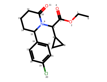 CCOC(=O)C(C1CC1)N1C(=O)CCCC1c1ccc(Cl)cc1